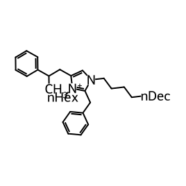 CCCCCCCCCCCCCCn1cc(CC(C)c2ccccc2)[n+](CCCCCC)c1Cc1ccccc1